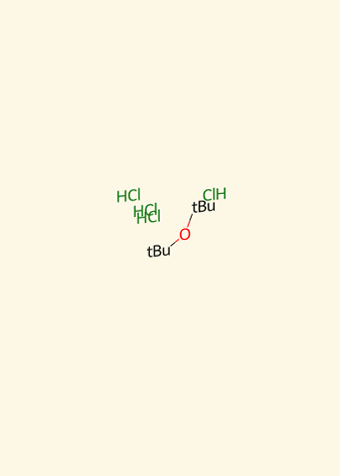 CC(C)(C)OC(C)(C)C.Cl.Cl.Cl.Cl